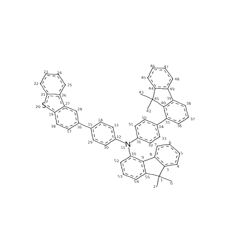 CC1(C)c2ccccc2-c2c(N(c3ccc(-c4ccc5sc6ccccc6c5c4)cc3)c3ccc(-c4cccc5c4C(C)(C)c4ccccc4-5)cc3)cccc21